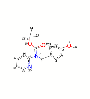 COc1ccc(CN(C(=O)OC(C)(C)C)c2ccccn2)cc1